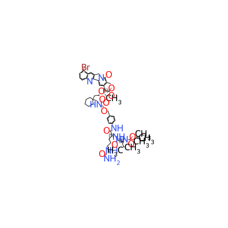 CC[C@@]1(OC(=O)CC2(CNC(=O)OCc3ccc(NC(=O)[C@H](CCCNC(N)=O)NC(=O)[C@@H](NC(=O)OC(C)(C)C)C(C)C)cc3)CCCCC2)C(=O)OCc2c1cc1n(c2=O)Cc2cc3c(Br)cccc3nc2-1